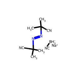 CC(C)(C#N)N=NC(C)(C)C#N.[BH3-]C#N.[Na+]